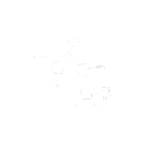 COc1ccc(CN(c2nccs2)S(=O)(=O)c2ccc(Oc3ccc(Br)cc3-c3ccnn3C)c(C#N)c2)c(OC)c1